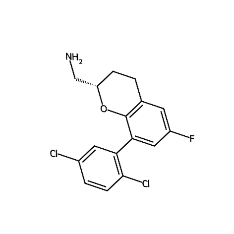 NC[C@@H]1CCc2cc(F)cc(-c3cc(Cl)ccc3Cl)c2O1